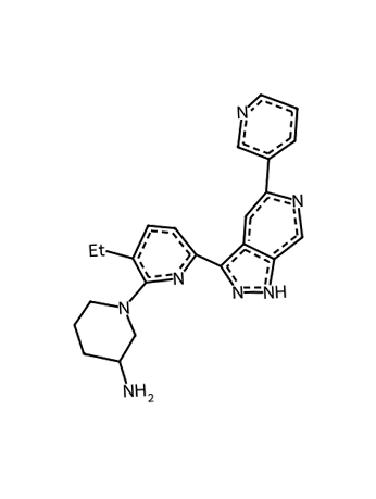 CCc1ccc(-c2n[nH]c3cnc(-c4cccnc4)cc23)nc1N1CCCC(N)C1